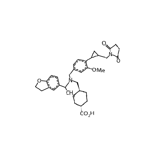 COc1cc(CN(C[C@H]2CC[C@H](C(=O)O)CC2)C(C)c2ccc3c(c2)CCO3)ccc1C1CC1CN1C(=O)CCC1=O